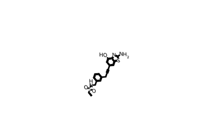 C=CS(=O)(=O)NCc1cccc(CC#Cc2cc(O)c3nc(N)sc3c2)c1